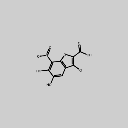 O=C(O)c1sc2c([N+](=O)[O-])c(O)c(O)cc2c1Cl